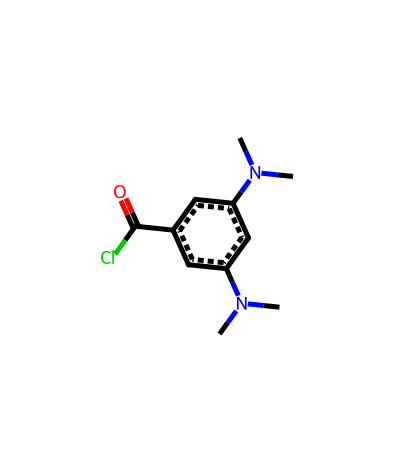 CN(C)c1cc(C(=O)Cl)cc(N(C)C)c1